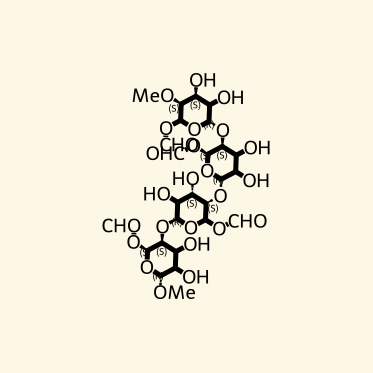 CO[C@@H]1O[C@@H](OC=O)[C@@H](O[C@@H]2OC(OC=O)[C@@H](O[C@@H]3O[C@@H](OC=O)[C@@H](O[C@@H]4OC(OC=O)[C@@H](OC)[C@@H](O)C4O)C(O)C3O)[C@@H](O)C2O)C(O)C1O